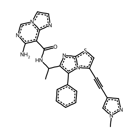 CC(NC(=O)c1c(N)ncn2ccnc12)c1nc2scc(C#Cc3cnn(C)c3)n2c1-c1ccccc1